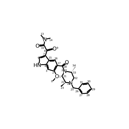 COc1cc2[nH]cc(C(=O)C(=O)N(C)C)c2cc1C(=O)N1C[C@H](C)N(Cc2ccccc2)C[C@H]1C